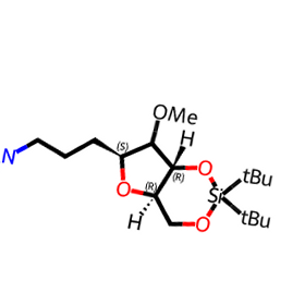 COC1[C@H](CCCN)O[C@@H]2CO[Si](C(C)(C)C)(C(C)(C)C)O[C@@H]12